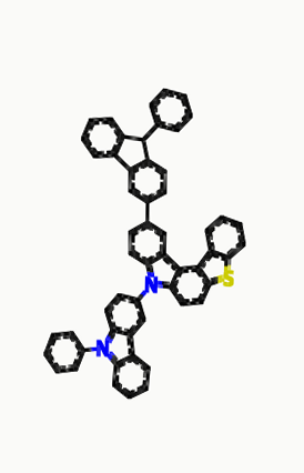 c1ccc(C2c3ccccc3-c3cc(-c4ccc5c(c4)c4c6c(ccc4n5-c4ccc5c(c4)c4ccccc4n5-c4ccccc4)sc4ccccc46)ccc32)cc1